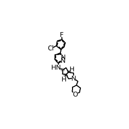 Fc1ccc(-c2ccc(N[C@H]3C[C@@H]4CN(CC5CCOCC5)C[C@@H]4C3)nn2)c(Cl)c1